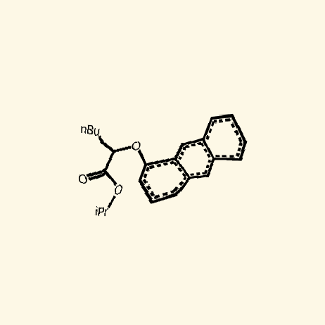 CCCCC(Oc1cccc2cc3ccccc3cc12)C(=O)OC(C)C